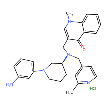 Cc1cc(CN(Cc2cn(C)c3ccccc3c2=O)[C@H]2CCCN(c3cccc(N)c3)C2)ccn1.Cl